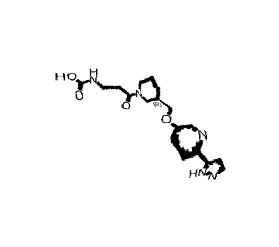 O=C(O)NCCC(=O)N1CCC[C@@H](COc2ccc(-c3ccn[nH]3)nc2)C1